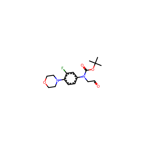 CC(C)(C)OC(=O)N(CC=O)c1ccc(N2CCOCC2)c(F)c1